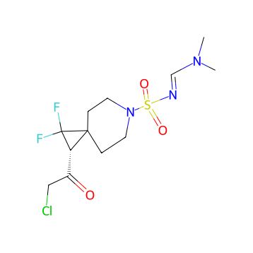 CN(C)/C=N/S(=O)(=O)N1CCC2(CC1)[C@H](C(=O)CCl)C2(F)F